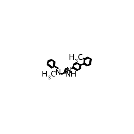 Cc1ccccc1-c1ccc(-n2cc(CN(C)Cc3ccccc3)[nH]2)cc1